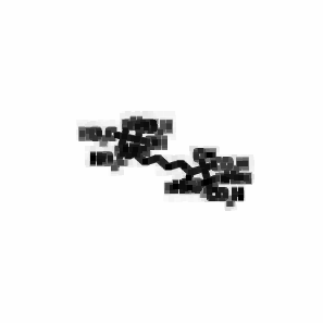 CCCCCCC(CCCCCC)(C(=O)O)C(O)(C(=O)O)C(CCCCC(C(=O)O)C(O)(C(=O)O)C(CCCCCC)(CCCCCC)C(=O)O)C(=O)O